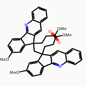 COC(=O)CCC1(CC2(CCC(=O)OC)c3cc(OC)ccc3-c3nc4ccccc4cc32)c2cc(OC)ccc2-c2nc3ccccc3cc21